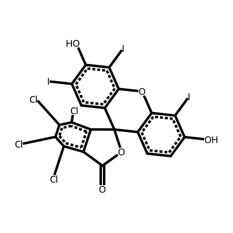 O=C1OC2(c3ccc(O)c(I)c3Oc3c2cc(I)c(O)c3I)c2c(Cl)c(Cl)c(Cl)c(Cl)c21